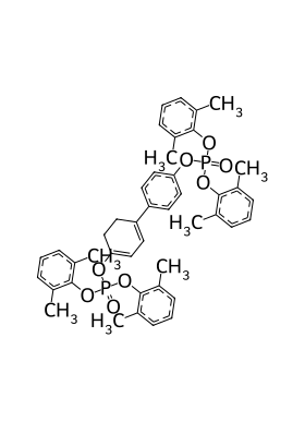 Cc1cccc(C)c1OP(=O)(OC1=CC=C(c2ccc(OP(=O)(Oc3c(C)cccc3C)Oc3c(C)cccc3C)cc2)CC1)Oc1c(C)cccc1C